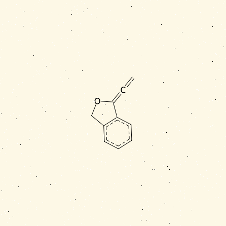 C=C=C1OCc2ccccc21